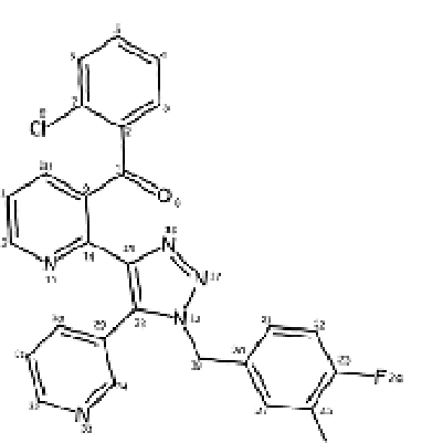 O=C(c1ccccc1Cl)c1cccnc1-c1nnn(Cc2ccc(F)c(C(F)(F)F)c2)c1-c1cccnc1